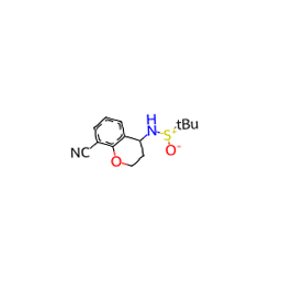 CC(C)(C)[S+]([O-])NC1CCOc2c(C#N)cccc21